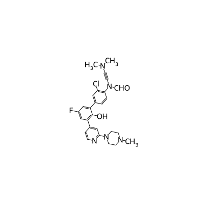 CN(C)C#CN(C=O)c1ccc(-c2cc(F)cc(-c3ccnc(N4CCN(C)CC4)c3)c2O)cc1Cl